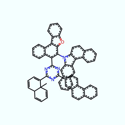 CC12C=CC=CC1C=CC=C2c1nc(-c2ccc3c(ccc4ccccc43)c2)nc(-c2c(-n3c4cc5ccccc5cc4c4c5ccccc5ccc43)c3oc4ccccc4c3c3ccccc23)n1